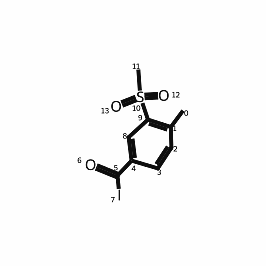 Cc1ccc(C(=O)I)cc1S(C)(=O)=O